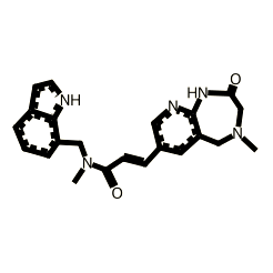 CN1CC(=O)Nc2ncc(/C=C/C(=O)N(C)Cc3cccc4cc[nH]c34)cc2C1